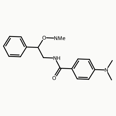 CNOC(CNC(=O)c1ccc(N(C)C)cc1)c1ccccc1